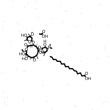 CC(=O)O.CCCCCCCCCCCCCCCCCC(=O)O.CC[C@H]1OC(=O)[C@H](C)[C@@H](O[C@H]2C[C@@](C)(OC)[C@@H](O)[C@H](C)O2)[C@H](C)[C@@H](O[C@@H]2O[C@H](C)C[C@H](N(C)C)[C@H]2O)[C@](C)(O)C[C@@H](C)C(=O)[C@H](C)[C@@H](O)[C@]1(C)O